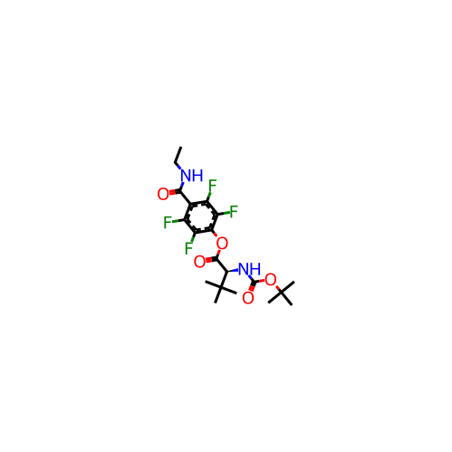 CCNC(=O)c1c(F)c(F)c(OC(=O)[C@@H](NC(=O)OC(C)(C)C)C(C)(C)C)c(F)c1F